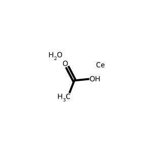 CC(=O)O.O.[Ce]